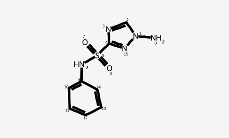 Nn1cnc(S(=O)(=O)Nc2ccccc2)n1